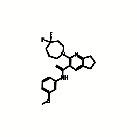 C=C(Nc1cccc(SC)c1)c1cc2c(nc1N1CCCC(F)(F)CC1)CCC2